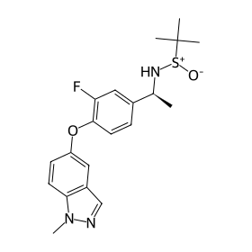 C[C@H](N[S+]([O-])C(C)(C)C)c1ccc(Oc2ccc3c(cnn3C)c2)c(F)c1